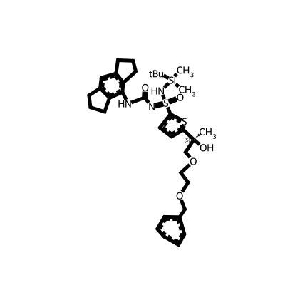 CC(C)(C)[Si](C)(C)NS(=O)(=NC(=O)Nc1c2c(cc3c1CCC3)CCC2)c1ccc([C@@](C)(O)COCCOCc2ccccc2)s1